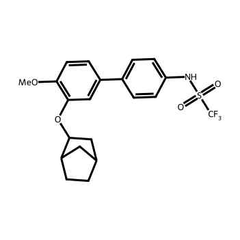 COc1ccc(-c2ccc(NS(=O)(=O)C(F)(F)F)cc2)cc1OC1CC2CCC1C2